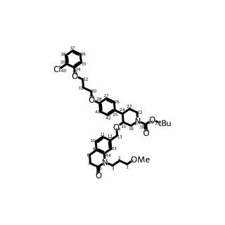 COCCCN1C(=O)CCc2ccc(COC3CN(C(=O)OC(C)(C)C)CCC3c3ccc(OCCCOc4ccccc4Cl)cc3)cc21